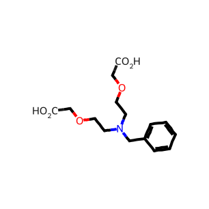 O=C(O)COCCN(CCOCC(=O)O)Cc1ccccc1